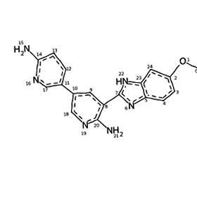 COc1ccc2nc(-c3cc(-c4ccc(N)nc4)cnc3N)[nH]c2c1